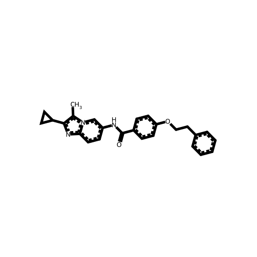 Cc1c(C2CC2)nc2ccc(NC(=O)c3ccc(OCCc4ccccc4)cc3)cn12